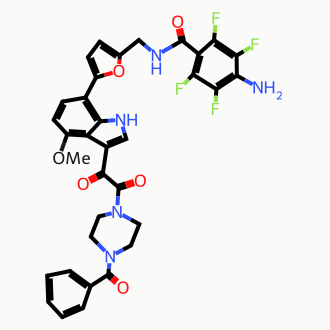 COc1ccc(-c2ccc(CNC(=O)c3c(F)c(F)c(N)c(F)c3F)o2)c2[nH]cc(C(=O)C(=O)N3CCN(C(=O)c4ccccc4)CC3)c12